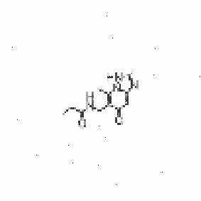 CCC(=O)NCc1c(C)n2[nH]cnc2cc1=O